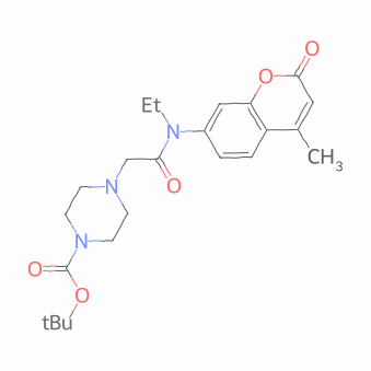 CCN(C(=O)CN1CCN(C(=O)OC(C)(C)C)CC1)c1ccc2c(C)cc(=O)oc2c1